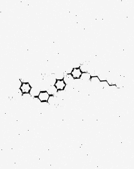 COC1=CC(=Nc2ccc(C)cc2OC)C=CC1=Nc1ccc(Nc2ccc(NC(=O)CCCCCO)c(OC)c2)c(OC)c1